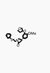 COc1ccc([C@@H]2CC(=O)N(CCSc3ccccc3)C2)cc1O[C@@H]1CCOC1